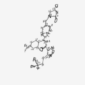 O=C(N[C@H](c1cn2ncc(CN3CC(Cl)=NC3=O)cc2n1)C1CCC(=C(F)F)CC1)c1nonc1CCC(F)(F)F